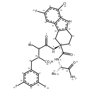 CCC(C)C(C(=O)N[C@]1(C(=O)N[C@H](C(N)=O)[C@@H](C)CC)CCc2[nH]c3c(Cl)cc(F)cc3c2C1)N(Cc1cc(F)cc(F)c1)C(=O)O